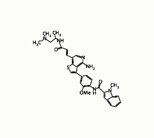 COc1cc(-c2csc3c(C=CC(=O)NC(C)CN(C)C)cnc(N)c23)ccc1NC(=O)c1cc2ccccc2n1C